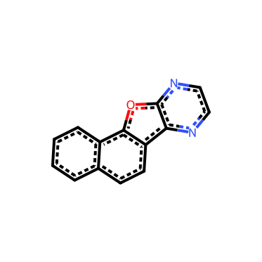 c1ccc2c(c1)ccc1c3nccnc3oc21